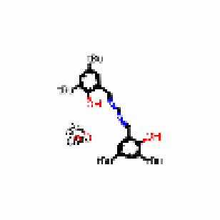 CC(=O)[O-].CC(=O)[O-].CC(C)(C)c1cc(C=NCN=Cc2cc(C(C)(C)C)cc(C(C)(C)C)c2O)c(O)c(C(C)(C)C)c1.[Co+2]